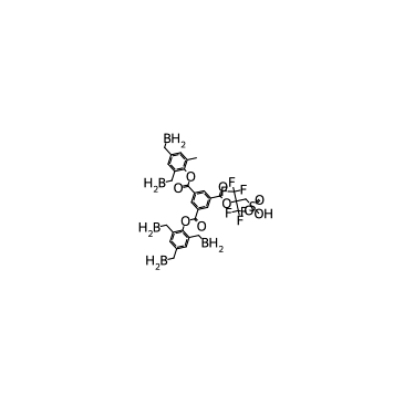 BCc1cc(C)c(OC(=O)c2cc(C(=O)Oc3c(CB)cc(CB)cc3CB)cc(C(=O)OC(CS(=O)(=O)O)(C(F)(F)F)C(F)(F)F)c2)c(CB)c1